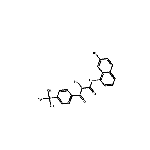 CC(C)(C)c1ccc(C(=O)N(S)C(=O)Nc2cccc3ccc(O)cc23)cc1